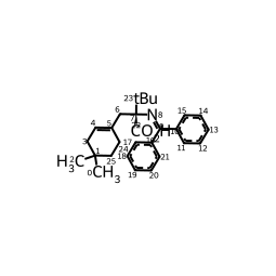 CC1(C)CC=C(C[C@](N=C(c2ccccc2)c2ccccc2)(C(=O)O)C(C)(C)C)CC1